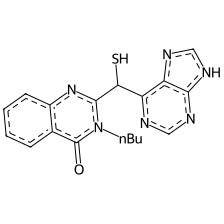 CCCCn1c(C(S)c2ncnc3[nH]cnc23)nc2ccccc2c1=O